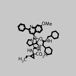 C=C[C@@H]1C[C@]1(NC(=O)[C@@]1(C(=O)N[C@H](C(=O)NCC2CCCCC2)C2CCCCC2)CCCN1Oc1cc(-c2ccccc2)nc2cc(OC)ccc12)C(=O)O